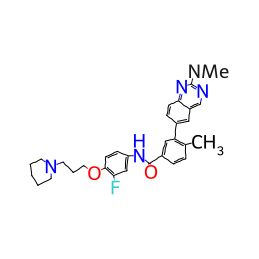 CNc1ncc2cc(-c3cc(C(=O)Nc4ccc(OCCCN5CCCCC5)c(F)c4)ccc3C)ccc2n1